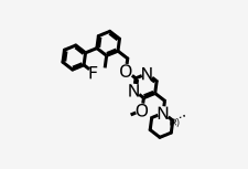 COc1nc(OCc2cccc(-c3ccccc3F)c2C)ncc1CN1CCCC[C@H]1C